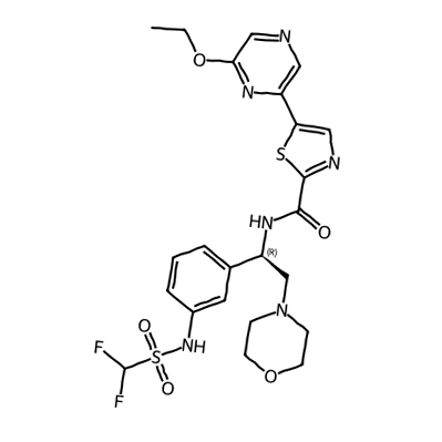 CCOc1cncc(-c2cnc(C(=O)N[C@@H](CN3CCOCC3)c3cccc(NS(=O)(=O)C(F)F)c3)s2)n1